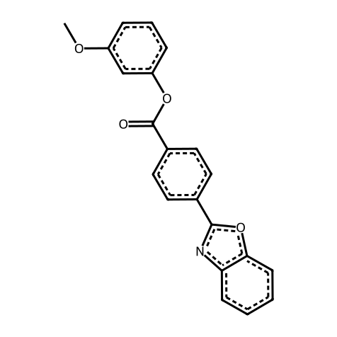 COc1cccc(OC(=O)c2ccc(-c3nc4ccccc4o3)cc2)c1